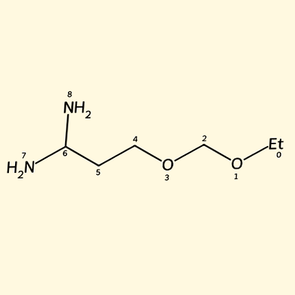 CCOCOCCC(N)N